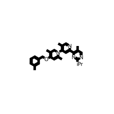 CC1=CC(OCc2cccc(C)c2)=C(C)CN1c1cc(-c2nc(C(C)C)ncc2C)ncc1C